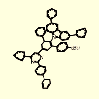 CC(C)(C)c1ccc(C2=C(n3c4ccc(-c5ccccc5)cc4c4cc(-c5ccccc5)ccc43)C(c3ccccc3)CC(c3cc(-c4ccccc4)nc(-c4ccc([C@@H]5C=CC=CC5)cc4)n3)=C2)cc1